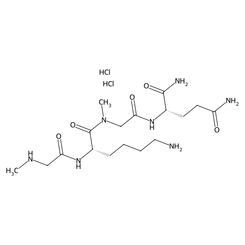 CNCC(=O)N[C@@H](CCCCN)C(=O)N(C)CC(=O)N[C@@H](CCC(N)=O)C(N)=O.Cl.Cl